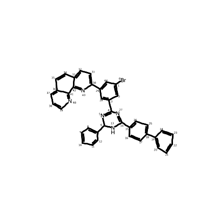 Brc1cc(C2=NC(c3ccccc3)NC(c3ccc(-c4ccccc4)cc3)=N2)cc(-c2ccc3ccc4cccnc4c3n2)c1